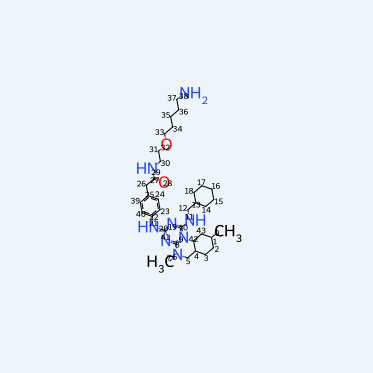 CC1CCC(CN(C)c2nc(NCC3CCCCC3)nc(Nc3ccc(CC(=O)NCCOCCCCCN)cc3)n2)CC1